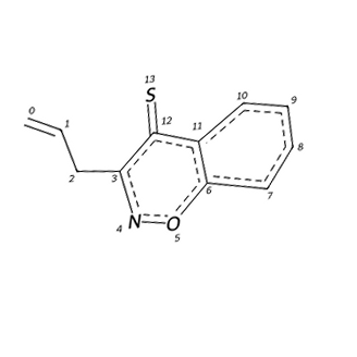 C=CCc1noc2ccccc2c1=S